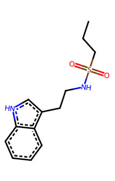 CCCS(=O)(=O)NCCc1c[nH]c2ccccc12